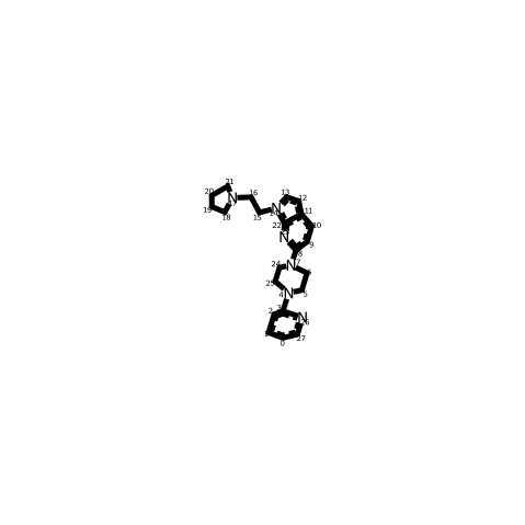 c1ccc(N2CCN(c3ccc4ccn(CCN5CCCC5)c4n3)CC2)nc1